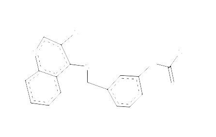 NC(=O)Oc1cccc(CNc2c(N)cnc3ccccc23)c1